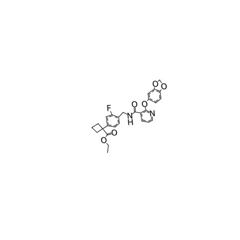 CCOC(=O)C1(c2ccc(CNC(=O)c3cccnc3Oc3ccc4c(c3)OCO4)c(F)c2)CCC1